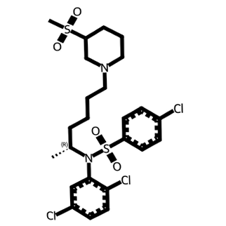 C[C@H](CCCCN1CCCC(S(C)(=O)=O)C1)N(c1cc(Cl)ccc1Cl)S(=O)(=O)c1ccc(Cl)cc1